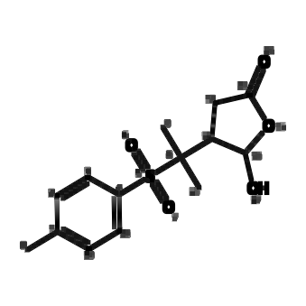 Cc1ccc(S(=O)(=O)C(C)(C)C2CC(=O)OC2O)cc1